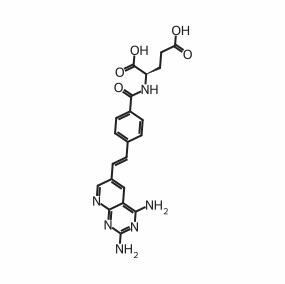 Nc1nc(N)c2cc(C=Cc3ccc(C(=O)N[C@H](CCC(=O)O)C(=O)O)cc3)cnc2n1